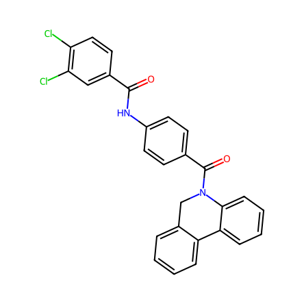 O=C(Nc1ccc(C(=O)N2Cc3ccccc3-c3ccccc32)cc1)c1ccc(Cl)c(Cl)c1